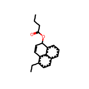 CCCC(=O)OC1C=Cc2c(CC)ccc3cccc1c23